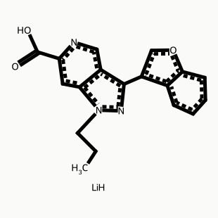 CCCn1nc(-c2coc3ccccc23)c2cnc(C(=O)O)cc21.[LiH]